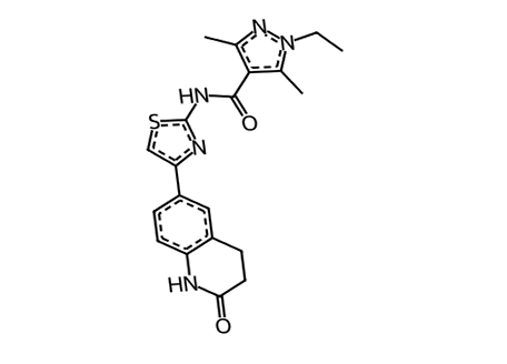 CCn1nc(C)c(C(=O)Nc2nc(-c3ccc4c(c3)CCC(=O)N4)cs2)c1C